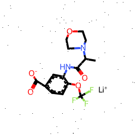 CC(C(=O)Nc1cc(C(=O)[O-])ccc1OC(F)(F)F)N1CCOCC1.[Li+]